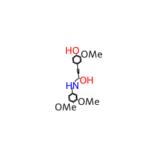 COc1cc(C#CC(O)CNCc2ccc(OC)c(OC)c2)ccc1O